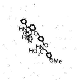 COc1ccc(CC(NC(=O)c2ccc(COc3cccc([C@@H](NC(=O)O[C@H]4CN5CCC4CC5)c4ccccc4)c3)cc2)C(=O)O)cc1